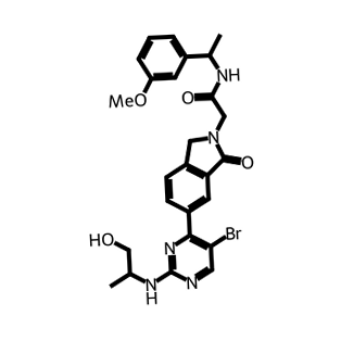 COc1cccc(C(C)NC(=O)CN2Cc3ccc(-c4nc(NC(C)CO)ncc4Br)cc3C2=O)c1